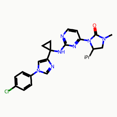 CC(C)C1CN(C)C(=O)N1c1ccnc(NC2(c3cn(-c4ccc(Cl)cc4)cn3)CC2)n1